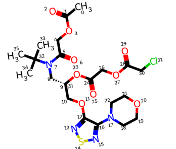 CC(=O)OCC(=O)N(C[C@@H](COc1nsnc1N1CCOCC1)OC(=O)COC(=O)CCl)C(C)(C)C